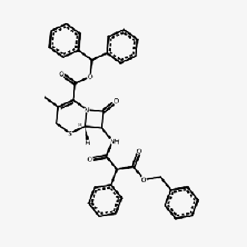 CC1=C(C(=O)OC(c2ccccc2)c2ccccc2)N2C(=O)C(NC(=O)C(C(=O)OCc3ccccc3)c3ccccc3)[C@@H]2SC1